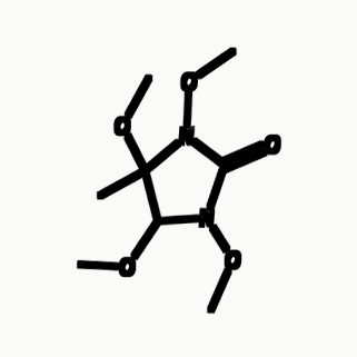 COC1N(OC)C(=O)N(OC)C1(C)OC